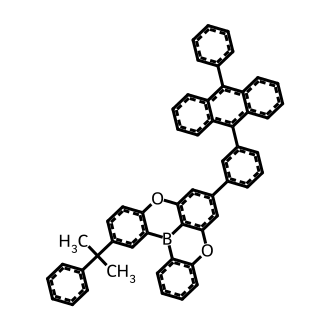 CC(C)(c1ccccc1)c1ccc2c(c1)B1c3ccccc3Oc3cc(-c4cccc(-c5c6ccccc6c(-c6ccccc6)c6ccccc56)c4)cc(c31)O2